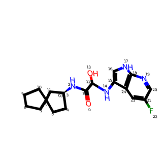 O=C(N[C@H]1CCC2(CCCC2)C1)C(O)Nc1c[nH]c2ncc(F)cc12